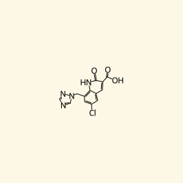 O=C(O)c1cc2cc(Cl)cc(Cn3cncn3)c2[nH]c1=O